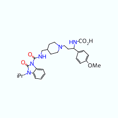 COc1ccc(C(CCN2CCC(CNC(=O)n3c(=O)n(C(C)C)c4ccccc43)CC2)NC(=O)O)cc1